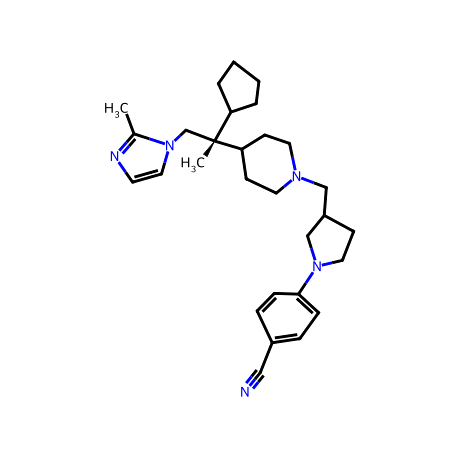 Cc1nccn1C[C@](C)(C1CCCC1)C1CCN(CC2CCN(c3ccc(C#N)cc3)C2)CC1